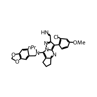 CCCN(Cc1ccc2c(c1)OCO2)c1c2c(nc3c(-c4ccc(OC)cc4Cl)c(C=N)nn13)CCC2